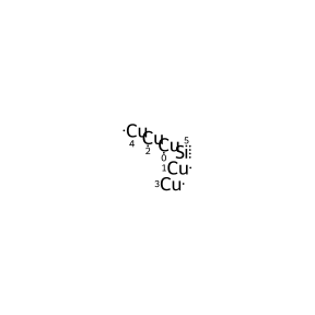 [Cu].[Cu].[Cu].[Cu].[Cu].[Si]